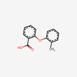 Cc1ccccc1Oc1ccccc1C(=O)O